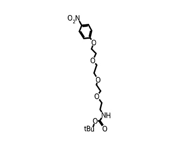 CC(C)(C)OC(=O)NCCOCCOCCOCCOc1ccc([N+](=O)[O-])cc1